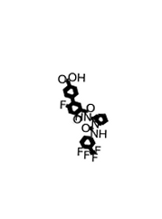 COc1cc(F)c(-c2ccc(C(=O)O)cc2)cc1C(=O)NC1C2C=CC(C2)N1C(=O)Nc1ccc(F)c(C(F)(F)F)c1